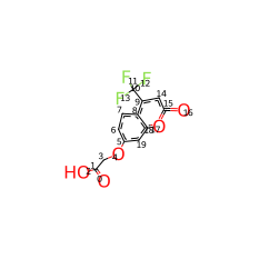 O=C(O)COc1ccc2c(C(F)(F)F)cc(=O)oc2c1